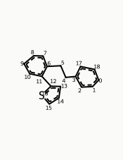 c1ccc(CCc2ccccc2-c2cccs2)cc1